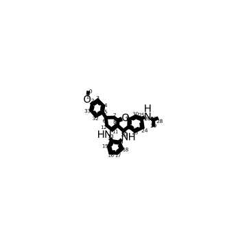 COc1ccc(C2CC(=O)C3=C(C2)Nc2ccccc2NC3c2ccc(NC(C)C)cc2)cc1